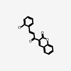 O=C(C=Cc1ccccc1Cl)c1cc2ccccc2oc1=O